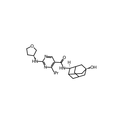 CC(C)c1nc(N[C@H]2CCOC2)ncc1C(=O)N[C@H]1C2CC3CC1C[C@@](O)(C3)C2